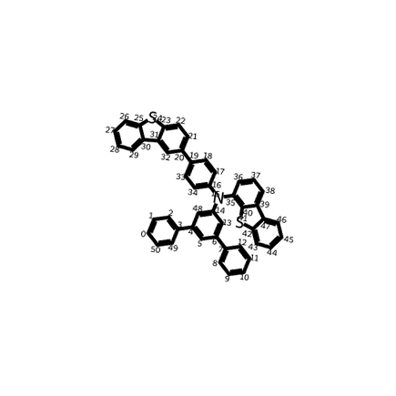 c1ccc(-c2cc(-c3ccccc3)cc(N(c3ccc(-c4ccc5sc6ccccc6c5c4)cc3)c3cccc4c3sc3ccccc34)c2)cc1